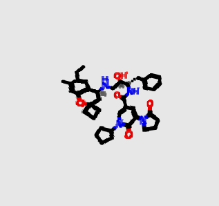 CCc1cc2c(cc1C)OC1(CCC1)C[C@@H]2NC[C@@H](O)[C@H](Cc1ccccc1)NC(=O)c1cc(N2CCCC2=O)c(=O)n(C2CCCC2)c1